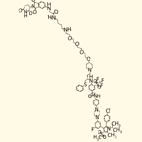 Cc1c(S(C)(=O)=O)c(-c2cc(F)cc(N3CCN(c4ccc(N[S+]([O-])c5ccc(N[C@H](CCN6CCC(OCCOCCOCCOCCNCCCCNC(=O)CNc7ccc8c(c7)C(=O)N(C7CCC(=O)NC7=O)C8=O)CC6)CSc6ccccc6)c(S(=O)(=O)C(F)(F)F)c5)cc4)CC3)c2)c(-c2ccc(Cl)cc2)n1C(C)C